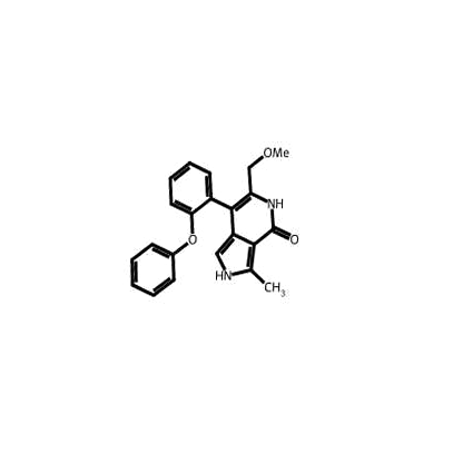 COCc1[nH]c(=O)c2c(C)[nH]cc2c1-c1ccccc1Oc1ccccc1